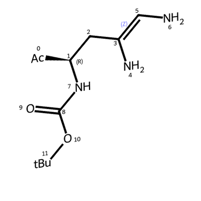 CC(=O)[C@@H](C/C(N)=C/N)NC(=O)OC(C)(C)C